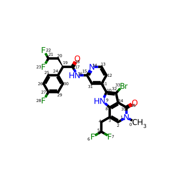 Cn1cc(CC(F)F)c2[nH]c(-c3ccnc(NC(=O)[C@H](CC(F)F)c4ccc(F)cc4)c3)c(Br)c2c1=O